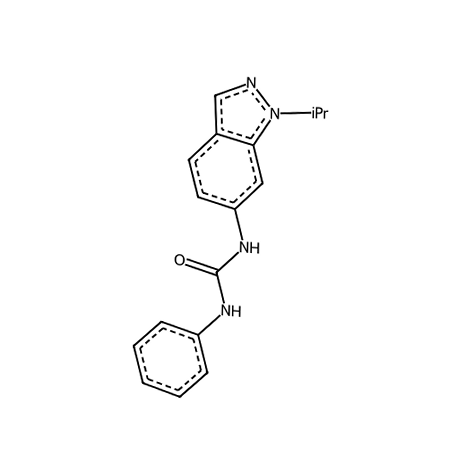 CC(C)n1ncc2ccc(NC(=O)Nc3ccccc3)cc21